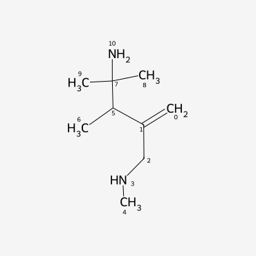 C=C(CNC)C(C)C(C)(C)N